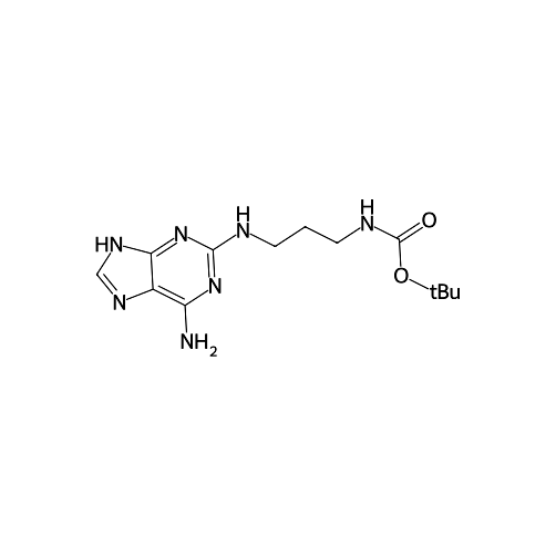 CC(C)(C)OC(=O)NCCCNc1nc(N)c2nc[nH]c2n1